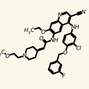 CCOc1cc2ncc(C#N)c(Nc3ccc(OCc4cccc(F)c4)c(Cl)c3)c2cc1NC(=O)C=C1CCN(CCOC)CC1